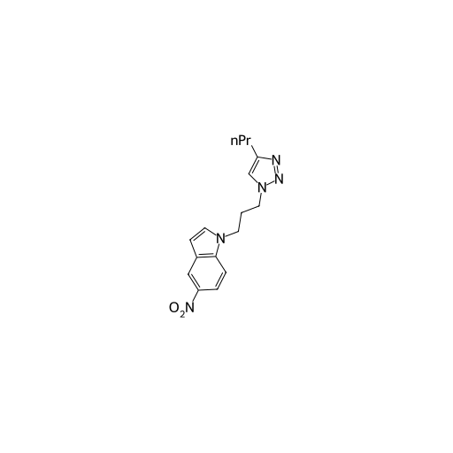 CCCc1cn(CCCn2ccc3cc([N+](=O)[O-])ccc32)nn1